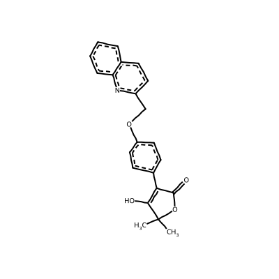 CC1(C)OC(=O)C(c2ccc(OCc3ccc4ccccc4n3)cc2)=C1O